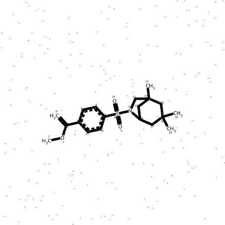 C=C(OC)c1ccc(S(=O)(=O)N2CC3(C)CC2CC(C)(C)C3)cc1